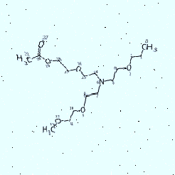 CCCOCCN(CCOCCOC)CCOCCOC(C)=O